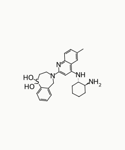 Cc1ccc2nc(N3CCS(O)(O)c4ccccc4C3)cc(N[C@H]3CCCC[C@@H]3N)c2c1